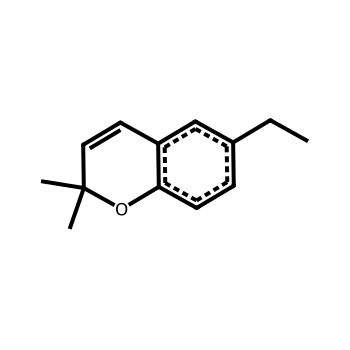 CCc1ccc2c(c1)C=CC(C)(C)O2